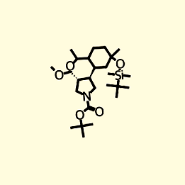 COC(=O)[C@H]1CN(C(=O)OC(C)(C)C)C[C@@H]1C1CC(C)(O[Si](C)(C)C(C)(C)C)CCC1C(C)C